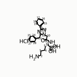 Cl.NCCCC[C@H](NC(=O)Cn1nc(-c2ccccc2)nc1Cc1ccccc1)B(O)O